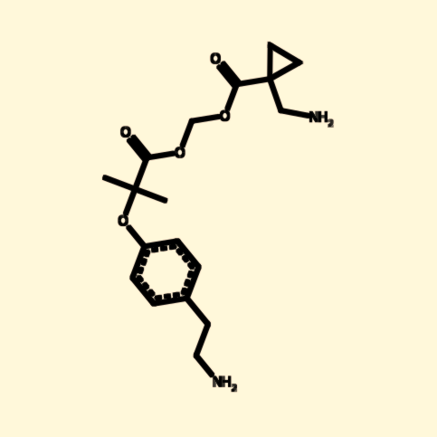 CC(C)(Oc1ccc(CCN)cc1)C(=O)OCOC(=O)C1(CN)CC1